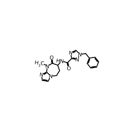 CN1C(=O)C(NC(=O)c2ncn(Cc3ccccc3)n2)CCn2ccnc21